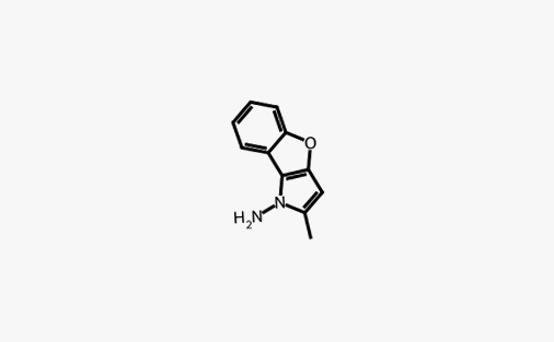 Cc1cc2oc3ccccc3c2n1N